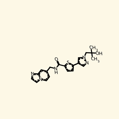 CC(C)(O)Cn1cc(-c2ccc(C(=O)NCc3ccn4ccnc4c3)s2)cn1